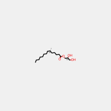 CCCCCCCC[C@H](C)CCCCC(=O)OC[C@@H](O)CO